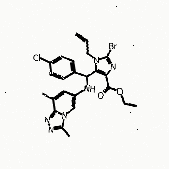 C=CCn1c(Br)nc(C(=O)OCC)c1C(Nc1cc(C)c2nnc(C)n2c1)c1ccc(Cl)cc1